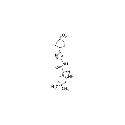 CC1(C)CCc2c(C(=O)Nc3cnn(C4CCC(C(=O)O)CC4)c3)n[nH]c2C1